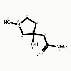 CNC(=O)CC1(O)CCB(C#N)C1